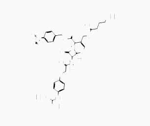 CCCCC(=O)OCC1=CS[C@H]2C(NC(=O)COc3ccc(OC(C)C)cc3)C(=O)N2C1C(=O)OCc1ccc([N+](=O)[O-])cc1